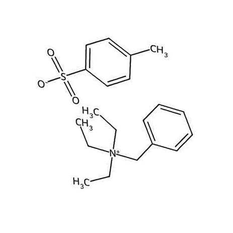 CC[N+](CC)(CC)Cc1ccccc1.Cc1ccc(S(=O)(=O)[O-])cc1